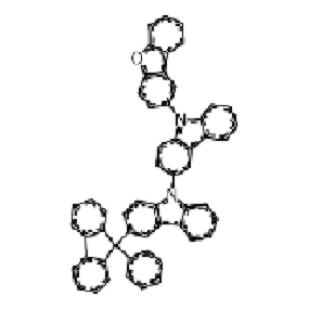 c1ccc(C2(c3ccc4c(c3)c3ccccc3n4-c3ccc4c(c3)c3ccccc3n4-c3ccc4oc5ccccc5c4c3)c3ccccc3-c3ccccc32)cc1